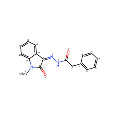 CCCCCCN1C(=O)/C(=N\NC(=O)Cc2ccccc2)c2ccccc21